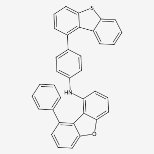 c1ccc(-c2cccc3oc4cccc(Nc5ccc(-c6cccc7sc8ccccc8c67)cc5)c4c23)cc1